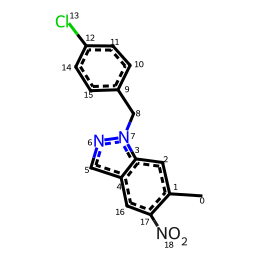 Cc1cc2c(cnn2Cc2ccc(Cl)cc2)cc1[N+](=O)[O-]